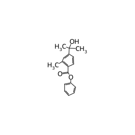 Cc1cc(C(C)(C)O)ccc1C(=O)Oc1ccccc1